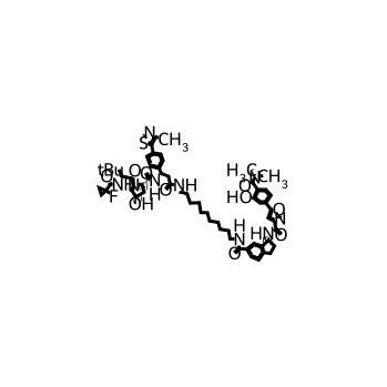 Cc1ncsc1-c1ccc(C(CC(=O)NCCCCCCCCCCCNC(=O)c2ccc3c(c2)[C@H](NC(=O)c2cc(-c4ccc(C(=O)N(C)C)c(O)c4)on2)CC3)NC(=O)[C@@H]2C[C@@H](O)CN2C(=O)C(NC(=O)C2(F)CC2)C(C)(C)C)cc1